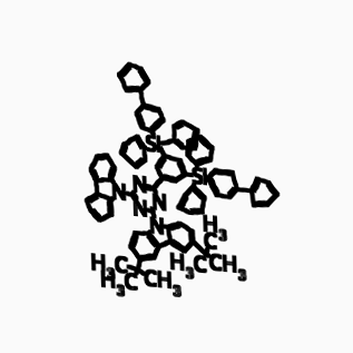 CC(C)(C)c1ccc2c(c1)c1cc(C(C)(C)C)ccc1n2-c1nc(-c2cc([Si](c3ccccc3)(c3ccccc3)c3ccc(-c4ccccc4)cc3)cc([Si](c3ccccc3)(c3ccccc3)c3ccc(-c4ccccc4)cc3)c2)nc(-n2c3ccccc3c3ccccc32)n1